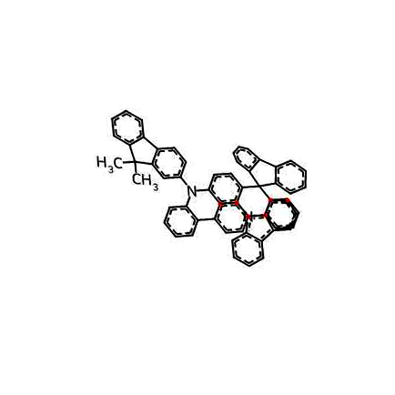 CC1(C)c2ccccc2-c2ccc(N(c3ccc4c(c3)-n3c5ccccc5c5cccc(c53)C43c4ccccc4-c4ccccc43)c3ccccc3-c3ccc(-c4ccccc4)cc3)cc21